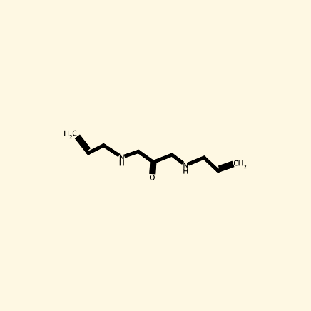 C=CCNCC(=O)CNCC=C